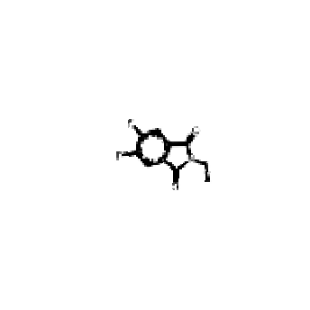 CCN1C(=O)c2cc(F)c(F)cc2C1=O